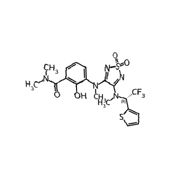 CN(C)C(=O)c1cccc(N(C)C2=NS(=O)(=O)N=C2N(C)[C@@H](c2cccs2)C(F)(F)F)c1O